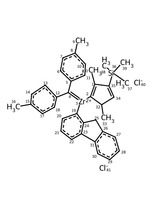 CC1=[C]([Zr+2](=[C](c2ccc(C)cc2)c2ccc(C)cc2)[c]2cccc3c2Cc2ccccc2-3)C(C)C=C1[Si](C)(C)C.[Cl-].[Cl-]